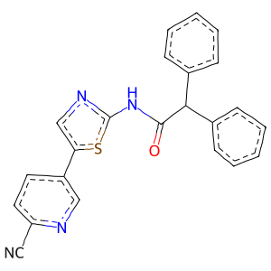 N#Cc1ccc(-c2cnc(NC(=O)C(c3ccccc3)c3ccccc3)s2)cn1